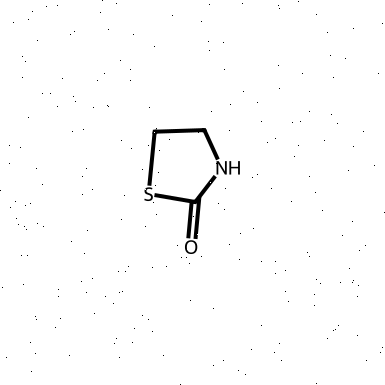 O=C1NCCS1